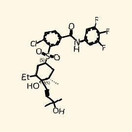 CCC1C[C@@H](S(=O)(=O)c2cc(C(=O)Nc3cc(F)c(F)c(F)c3)ccc2Cl)C[C@H](C)[C@@]1(O)C#CC(C)(C)O